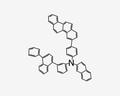 c1ccc(-c2ccc(-c3cccc(N(c4ccc(-c5ccc6ccc7c8ccccc8ccc7c6c5)cc4)c4ccc5ccccc5c4)c3)c3ccccc23)cc1